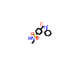 CCNS(=O)(=O)C1CCC(C(=O)N(C)C2CCCCC2)CC1